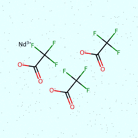 O=C([O-])C(F)(F)F.O=C([O-])C(F)(F)F.O=C([O-])C(F)(F)F.[Nd+3]